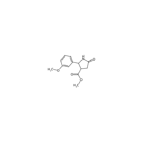 COC(=O)C1CC(=O)NC1c1cccc(OC)c1